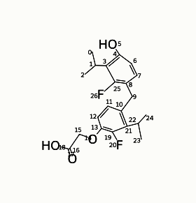 CC(C)c1c(O)ccc(Cc2ccc(OCC(=O)O)c(F)c2C(C)C)c1F